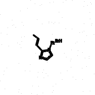 Br.CC=Cc1nccn1CC